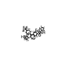 O=S(=O)(Nc1nccs1)c1cc2c(cc1F)[C@@H](N1CCC(C(F)(F)F)C[C@H]1c1ccn[nH]1)CCO2